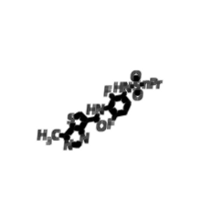 CCCS(=O)(=O)Nc1ccc(F)c(NC(=O)c2csc3c(C)ncnc23)c1F